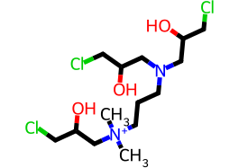 C[N+](C)(CCCN(CC(O)CCl)CC(O)CCl)CC(O)CCl